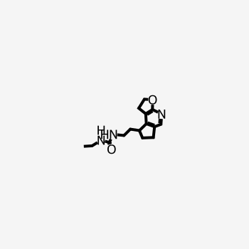 CCNC(=O)NCCC1CCc2cnc3c(c21)CCO3